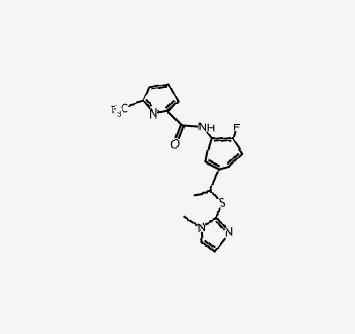 CC(Sc1nccn1C)c1ccc(F)c(NC(=O)c2cccc(C(F)(F)F)n2)c1